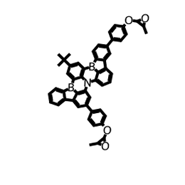 CC1OC1Oc1ccc(-c2ccc3c(c2)-c2cccc4c2B3c2cc(C(C)(C)C)cc3c2N4c2cc(-c4ccc(OC5OC5C)cc4)cc4c2B3c2ccccc2-4)cc1